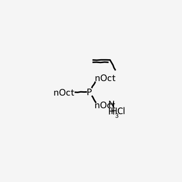 C=CC.CCCCCCCCP(CCCCCCCC)CCCCCCCC.Cl.N